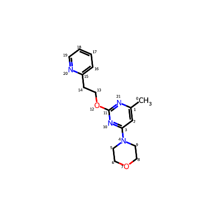 Cc1cc(N2CCOCC2)nc(OCCc2ccccn2)n1